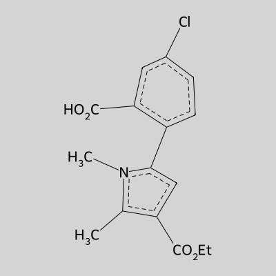 CCOC(=O)c1cc(-c2ccc(Cl)cc2C(=O)O)n(C)c1C